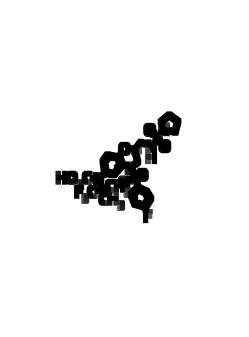 CC(C)(N(C(=O)O)c1ccc2c(c1)N(S(=O)(=O)c1ccc(F)cc1)C[C@H](CNS(=O)(=O)N1CCCC1)O2)C(F)(F)F